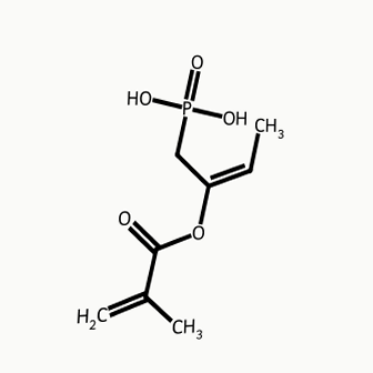 C=C(C)C(=O)OC(=CC)CP(=O)(O)O